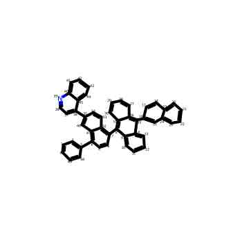 c1ccc(-c2ccc(-c3c4ccccc4c(-c4ccc5ccccc5c4)c4ccccc34)c3ccc(-c4ccnc5ccccc45)cc23)cc1